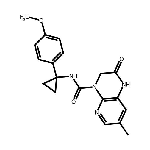 Cc1cnc2c(c1)NC(=O)CN2C(=O)NC1(c2ccc(OC(F)(F)F)cc2)CC1